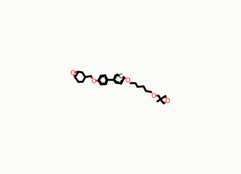 CC1(COCCCCCCOc2ccc(-c3ccc(OCC4CCC5OC5C4)cc3)cc2)COC1